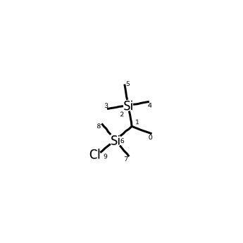 CC([Si](C)(C)C)[Si](C)(C)Cl